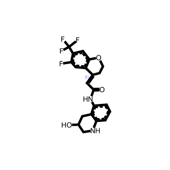 O=C(/C=C1\CCOc2cc(C(F)(F)F)c(F)cc21)Nc1cccc2c1CC(O)CN2